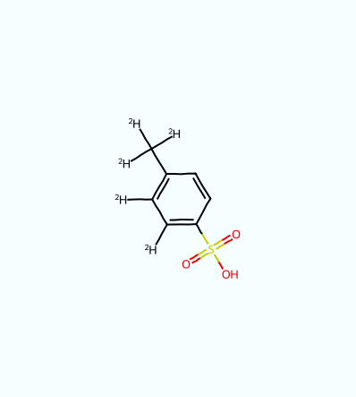 [2H]c1c(C([2H])([2H])[2H])ccc(S(=O)(=O)O)c1[2H]